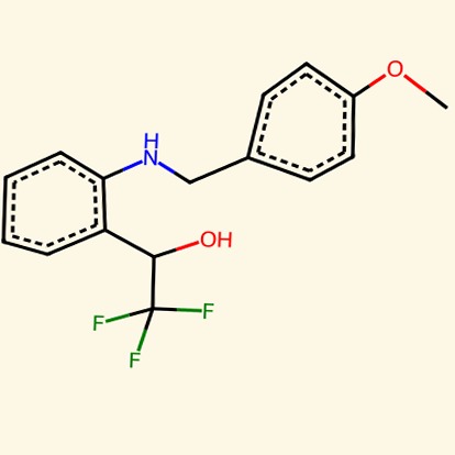 COc1ccc(CNc2ccccc2C(O)C(F)(F)F)cc1